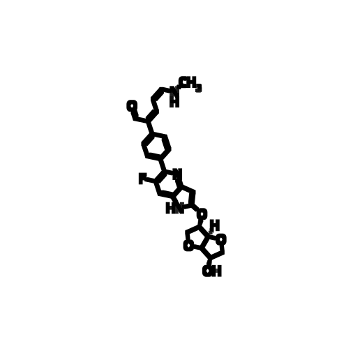 CN/C=C\C=C(/C=O)c1ccc(-c2nc3cc(O[C@@H]4COC5[C@H](O)CO[C@@H]54)[nH]c3cc2F)cc1